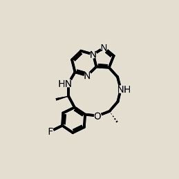 C[C@H]1CNCc2cnn3ccc(nc23)N[C@H](C)c2cc(F)ccc2O1